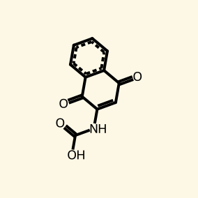 O=C(O)NC1=CC(=O)c2ccccc2C1=O